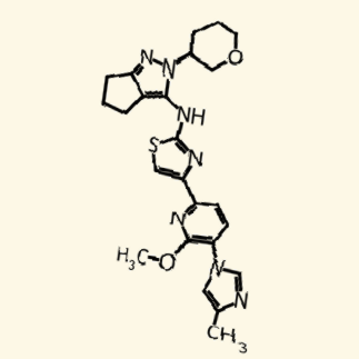 COc1nc(-c2csc(Nc3c4c(nn3C3CCCOC3)CCC4)n2)ccc1-n1cnc(C)c1